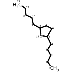 CCCCCC1CCC(CCCCC)S1